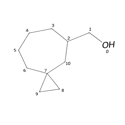 OCC1CCCCC2(CC2)C1